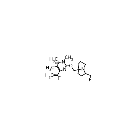 C=C(F)C1=C(C)[C@H](C)N(C)C(OCC23CCCN2C(CF)CC3)=N1